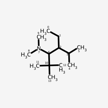 CCC(C(C)C)C(N(C)C)C(C)(C)C